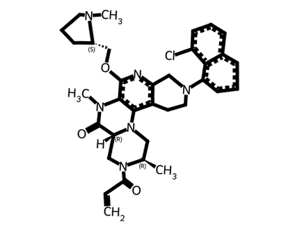 C=CC(=O)N1C[C@@H]2C(=O)N(C)c3c(OC[C@@H]4CCCN4C)nc4c(c3N2C[C@H]1C)CCN(c1cccc2cccc(Cl)c12)C4